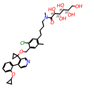 Cc1cc(COC2(c3cnccc3-c3ccccc3OC3CC3)CC2)c(Cl)cc1CCCCN(C)C(=O)[C@@H](O)[C@@H](O)[C@H](O)[C@@H](O)CO